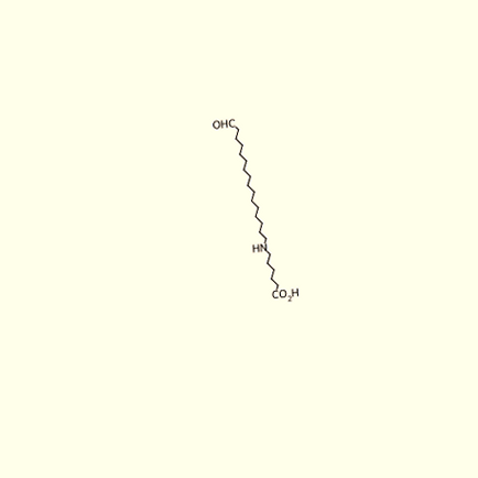 O=CCCCCCCCCCCCCCCCNCCCCCC(=O)O